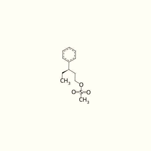 CC[C@H](CCOS(C)(=O)=O)c1ccccc1